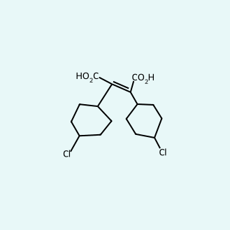 O=C(O)C(=C(C(=O)O)C1CCC(Cl)CC1)C1CCC(Cl)CC1